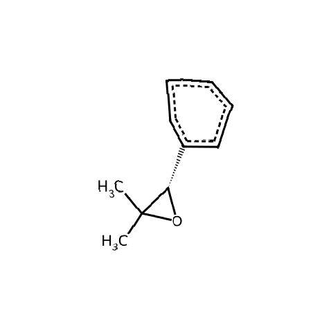 CC1(C)O[C@H]1c1ccccc1